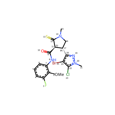 COc1c(F)cccc1NC(=O)[C@H]1C(=S)N(C)C[C@@H]1c1nn(C)c(Cl)c1Br